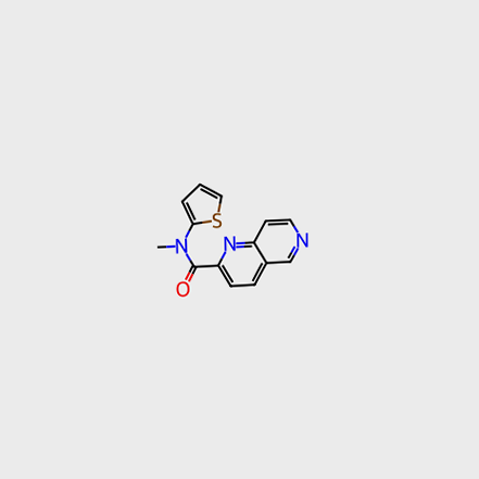 CN(C(=O)c1ccc2cnccc2n1)c1cccs1